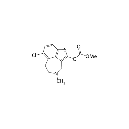 COC(=O)Oc1sc2ccc(Cl)c3c2c1CN(C)CC3